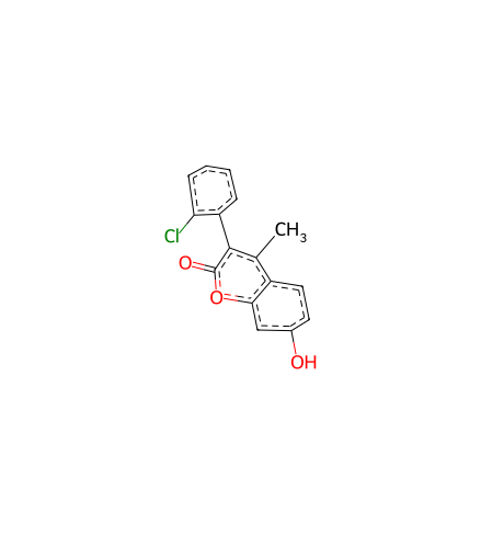 Cc1c(-c2ccccc2Cl)c(=O)oc2cc(O)ccc12